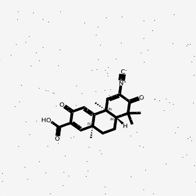 [C-]#[N+]C1=C[C@]2(C)C3=CC(=O)C(C(=O)O)=C[C@]3(C)CC[C@H]2C(C)(C)C1=O